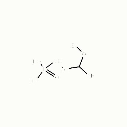 CCO[CH](C)[Na].O=P(O)(O)O